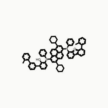 Cc1ccccc1-c1cccc(-c2cccc(N(c3ccccc3)c3cc(C4CCCCC4)c4ccc5c(N(c6ccccc6)c6cccc7c6oc6c(-c8ccccc8C)cccc67)cc(C6CCCCC6)c6ccc3c4c65)c2O)c1